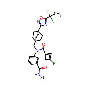 CCNC(=O)c1cccc(N(CC23CCC(c4noc(C(C)(F)F)n4)(CC2)CC3)C(=O)C23CC(F)(C2)C3)c1